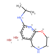 Br.Br.CC(C)Nc1ccc2c(n1)OCCNC2